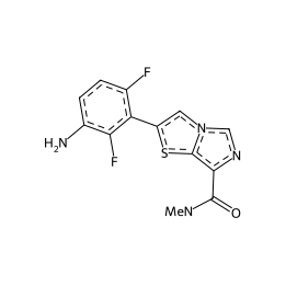 CNC(=O)c1ncn2cc(-c3c(F)ccc(N)c3F)sc12